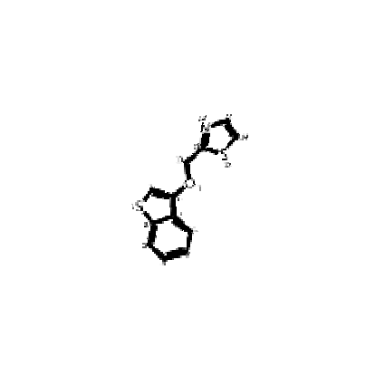 [c]1sc2ccccc2c1OCc1nccs1